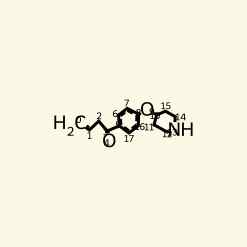 C=CCC(=O)c1ccc(OC2CCNCC2)cc1